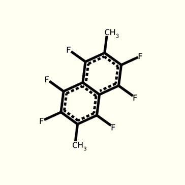 Cc1c(F)c(F)c2c(F)c(C)c(F)c(F)c2c1F